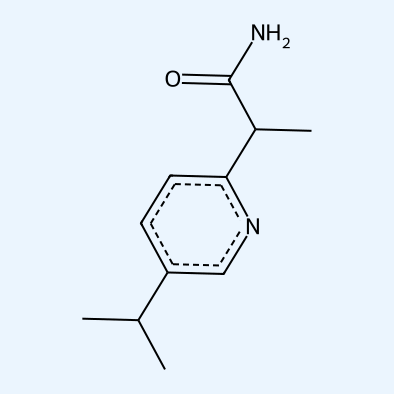 CC(C)c1ccc(C(C)C(N)=O)nc1